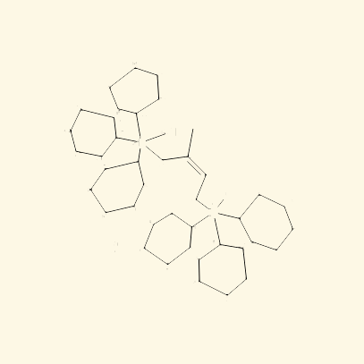 CC(=CCP(Cl)(C1CCCCC1)(C1CCCCC1)C1CCCCC1)CP(Cl)(C1CCCCC1)(C1CCCCC1)C1CCCCC1.[Ru+2]